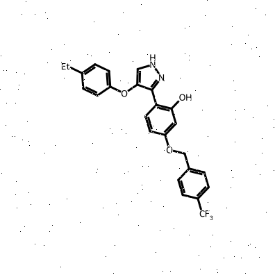 CCc1ccc(Oc2c[nH]nc2-c2ccc(OCc3ccc(C(F)(F)F)cc3)cc2O)cc1